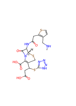 CNCc1ccsc1CC(=O)NC1C(=O)N2C(C(=O)O)=C(C(CC(=O)O)Sc3nnn[nH]3)CS[C@@H]12